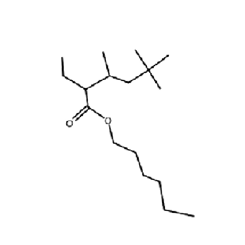 CCCCCCOC(=O)C(CC)C(C)CC(C)(C)C